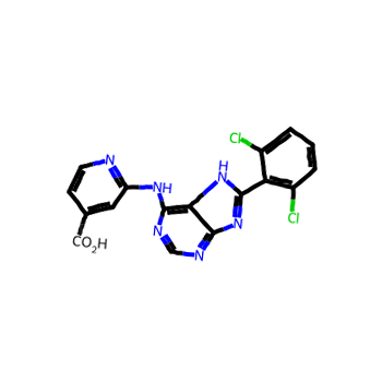 O=C(O)c1ccnc(Nc2ncnc3nc(-c4c(Cl)cccc4Cl)[nH]c23)c1